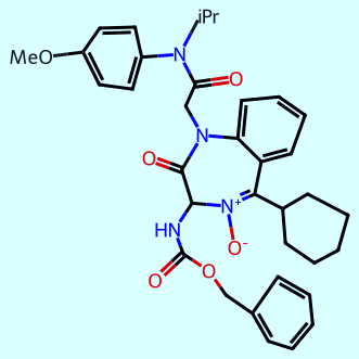 COc1ccc(N(C(=O)CN2C(=O)C(NC(=O)OCc3ccccc3)[N+]([O-])=C(C3CCCCC3)c3ccccc32)C(C)C)cc1